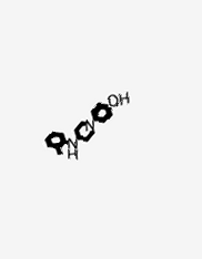 Cc1ccccc1NC1CCN(c2ccc(O)cc2)CC1